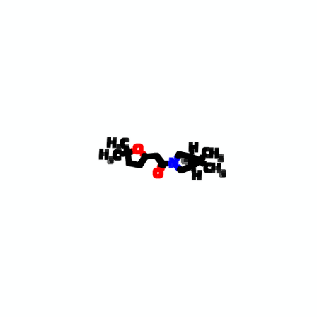 CC1(C)CCC(CC(=O)N2C[C@@H]3[C@H](C2)C3(C)C)O1